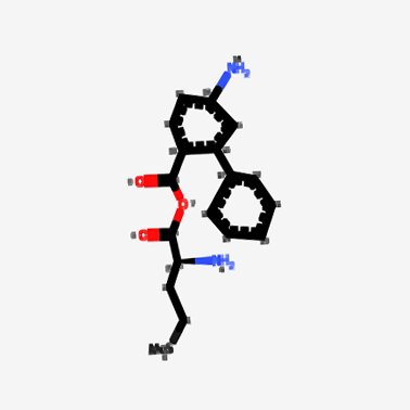 CSCC[C@H](N)C(=O)OC(=O)c1ccc(N)cc1-c1ccccc1